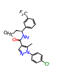 Cc1c(C(=O)N[C@@H](CC=O)c2cccc(C(F)(F)F)c2)cnn1-c1ccc(Cl)cc1